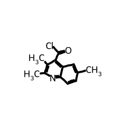 Cc1ccc2nc(C)c(C)c(C(=O)Cl)c2c1